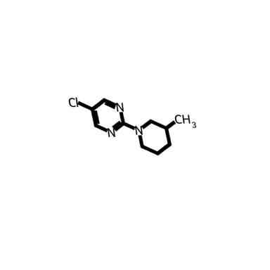 CC1CCCN(c2ncc(Cl)cn2)C1